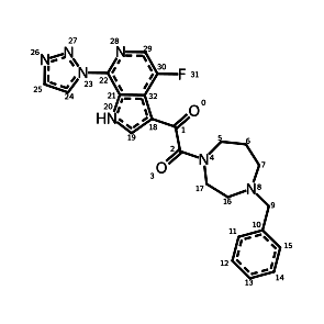 O=C(C(=O)N1CCCN(Cc2ccccc2)CC1)c1c[nH]c2c(-n3ccnn3)ncc(F)c12